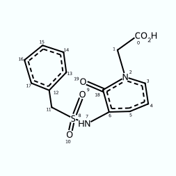 O=C(O)Cn1cccc(NS(=O)(=O)Cc2ccccc2)c1=O